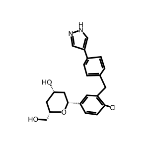 OC[C@@H]1C[C@H](O)C[C@H](c2ccc(Cl)c(Cc3ccc(-c4cn[nH]c4)cc3)c2)O1